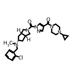 CN(Cc1ccccc1Cl)[C@@H]1C[C@@H]2CN(C(=O)n3cc(C(=O)N4CCN(C5CC5)CC4)cn3)C[C@@H]2C1